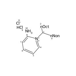 CCCCCCCCCC(CCCCCCCC)[n+]1ccccc1.Cl.N.[Cl-]